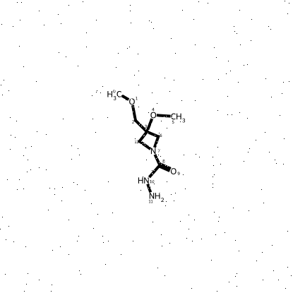 COCC1(OC)CN(C(=O)NN)C1